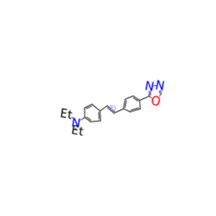 CCN(CC)c1ccc(/C=C/c2ccc(-c3nnco3)cc2)cc1